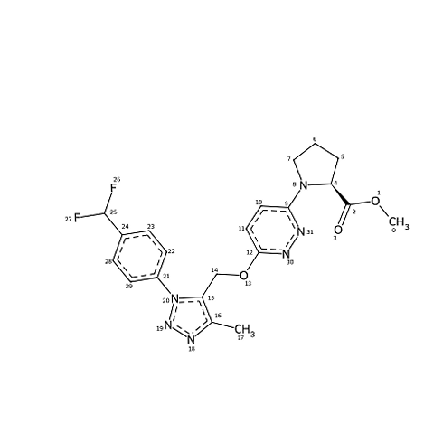 COC(=O)[C@@H]1CCCN1c1ccc(OCc2c(C)nnn2-c2ccc(C(F)F)cc2)nn1